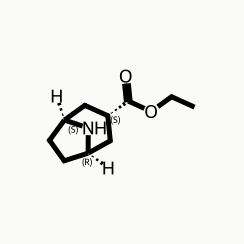 CCOC(=O)[C@@H]1C[C@H]2CC[C@@H](C1)N2